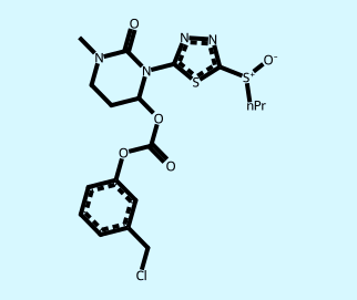 CCC[S+]([O-])c1nnc(N2C(=O)N(C)CCC2OC(=O)Oc2cccc(CCl)c2)s1